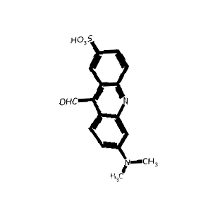 CN(C)c1ccc2c(C=O)c3cc(S(=O)(=O)O)ccc3nc2c1